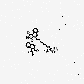 CCCC(N)(N)CCCCCCCCc1cc2ccccc2c2c1C(=O)NC2=O.O=C1NC(=O)c2c1ccc1ccccc21